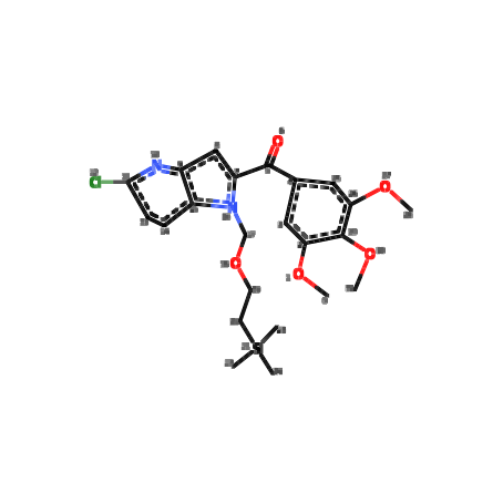 COc1cc(C(=O)c2cc3nc(Cl)ccc3n2COCC[Si](C)(C)C)cc(OC)c1OC